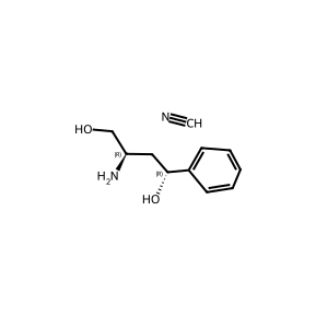 C#N.N[C@@H](CO)C[C@@H](O)c1ccccc1